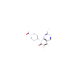 CSc1ncc2c(C)c(Br)c(=O)n(C3CCN(C(=O)O)CC3)c2n1